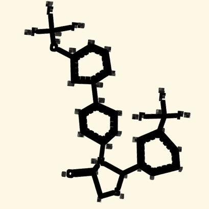 O=C1CSC(c2cccc(C(F)(F)F)c2)N1c1ccc(-c2cccc(OC(F)(F)F)c2)cc1